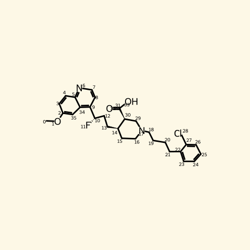 COc1ccc2nccc([C@@H](F)CC[C@@H]3CCN(CCCCc4ccccc4Cl)C[C@@H]3C(=O)O)c2c1